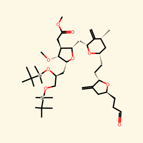 C=C1C[C@H](CCC=O)O[C@H]1CC[C@H]1C[C@@H](C)C(=C)[C@@H](C[C@@H]2O[C@H](C[C@@H](CO[Si](C)(C)C(C)(C)C)O[Si](C)(C)C(C)(C)C)[C@H](OC)[C@H]2CC(=O)OC)O1